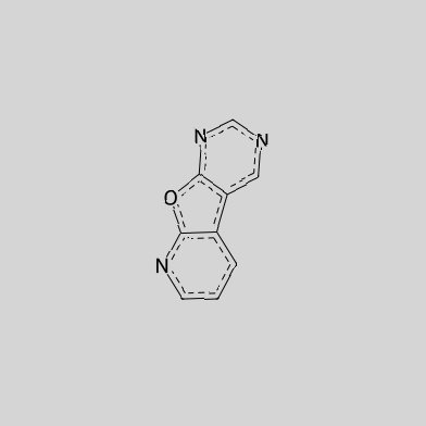 c1cnc2oc3ncncc3c2c1